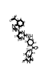 C=C(C)c1cccc2c1nnn2-c1ccnc(N[C@H]2CC[C@H](C(=O)N3CCn4c(C)nnc4C3)CC2)n1